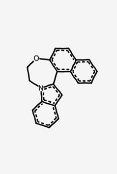 c1ccc2c3c(ccc2c1)OCCn1c-3cc2ccccc21